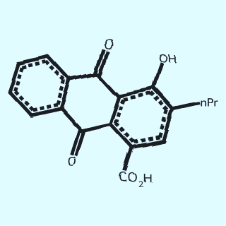 CCCc1cc(C(=O)O)c2c(c1O)C(=O)c1ccccc1C2=O